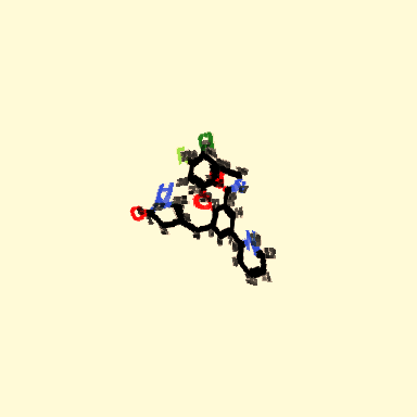 O=C1CC(Cc2cc(-c3ccccn3)cc(-c3ncco3)c2Oc2ccc(Cl)c(F)c2)CN1